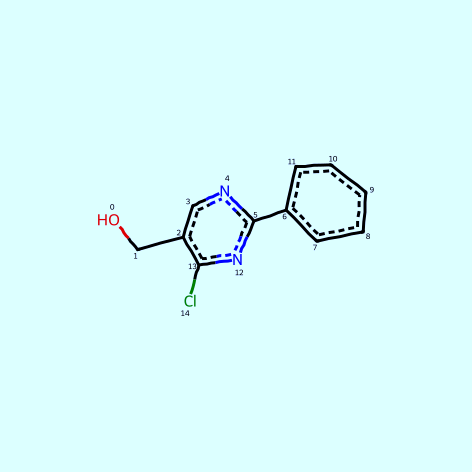 OCc1cnc(-c2ccccc2)nc1Cl